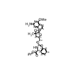 COc1nc(N)nc2c1ncn2C1OC(COP(NCC(=O)OC(C)C)Oc2ccccc2)CC1(C)C